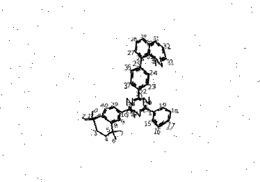 CC1(C)CCC(C)(C)c2cc(-c3nc(-c4ccccc4)nc(-c4ccc(-c5cccc6cccnc56)cc4)n3)ccc21